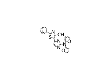 Cc1nc(-c2cccnc2)sc1-c1ccnc(N(c2ccco2)c2ccco2)n1